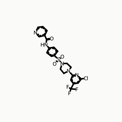 O=C(Nc1ccc(S(=O)(=O)N2CCN(c3cc(C(F)(F)F)cc(Cl)n3)CC2)cc1)c1cccnc1